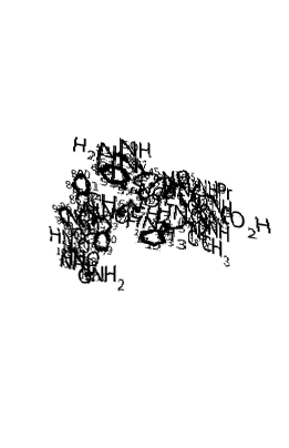 CCC(=O)N[C@H](Cc1c[nH]c2ccccc12)C(=O)N(C)[C@@H](C)C(=O)N[C@@H](CC(=O)O)C(=O)N[C@H](C(=O)N[C@@H](CO)C(=O)NCC(=O)N[C@@H](CCCNC(=N)N)C(=O)N(C)[C@@H](Cc1ccccc1)C(=O)N(C)CC(=O)N[C@@H](Cc1ccc(O)cc1)C(=O)N(C)[C@@H](Cc1ccccc1)C(=O)N1CCC[C@H]1C(=O)N[C@@H](CN)C(=O)NCC(N)=O)C(C)C